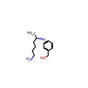 NCCCCC(N)C(=O)O.OCc1ccccc1